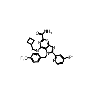 CC(C)c1ccnc(-c2nc3nc(C(N)=O)nc(N[C@H](C)C4CCC4)c3n2Cc2ccc(C(F)(F)F)cc2)c1